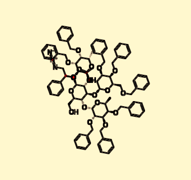 CC(=O)N[C@H]1[C@H](OCCN=[N+]=[N-])O[C@H](CO)[C@@H](O[C@@H]2O[C@@H](C)[C@@H](OCc3ccccc3)[C@@H](OCc3ccccc3)[C@@H]2OCc2ccccc2)[C@@H]1O[C@@H]1O[C@H](COCc2ccccc2)[C@H](OCc2ccccc2)[C@H](OCc2ccccc2)[C@H]1O[C@@H]1O[C@@H](C)[C@@H](OCc2ccccc2)[C@@H](OCc2ccccc2)[C@@H]1OCc1ccccc1